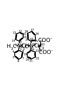 C[N+](C)(c1ccccc1)c1ccccc1.C[N+](C)(c1ccccc1)c1ccccc1.O=C([O-])C=CC(=O)[O-]